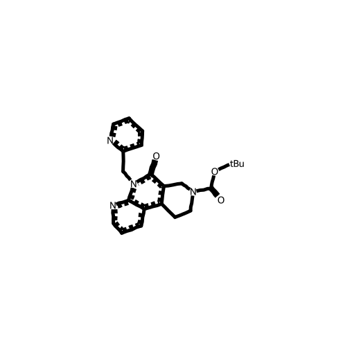 CC(C)(C)OC(=O)N1CCc2c(c(=O)n(Cc3ccccn3)c3ncccc23)C1